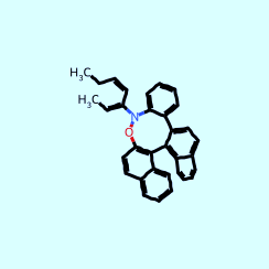 C/C=C(\C=C/CC)n1oc2ccc3ccccc3c2c2c3ccccc3ccc2c2ccccc21